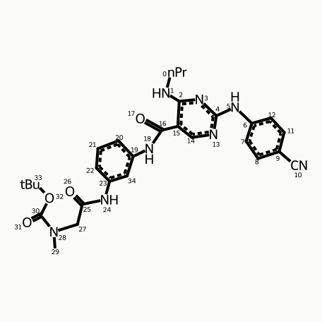 CCCNc1nc(Nc2ccc(C#N)cc2)ncc1C(=O)Nc1cccc(NC(=O)CN(C)C(=O)OC(C)(C)C)c1